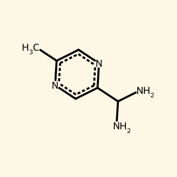 Cc1cnc(C(N)N)cn1